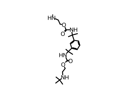 CNCCOC(=O)NC(C)(C)c1cccc(C(C)(C)NC(=O)OCCNC(C)(C)C)c1